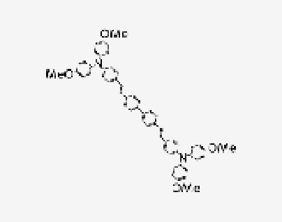 COc1ccc(N(c2ccc(C=Cc3ccc(-c4ccc(/C=C/c5ccc(N(c6ccc(OC)cc6)c6ccc(OC)cc6)cc5)cc4)cc3)cc2)c2ccc(OC)cc2)cc1